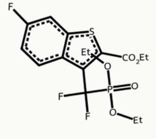 CCOC(=O)c1sc2cc(F)ccc2c1C(F)(F)P(=O)(OCC)OCC